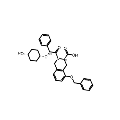 O=C(O)[C@H]1Cc2c(cccc2OCc2ccccc2)CN1C(=O)[C@H](O[C@H]1CC[C@@H](O)CC1)c1ccccc1